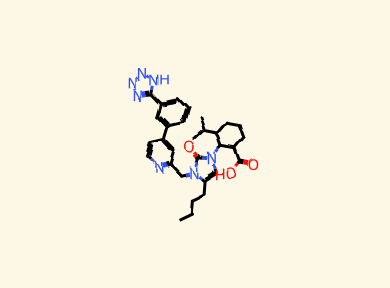 CCCCc1cn(C2C(C(=O)O)CCCC2C(C)C)c(=O)n1Cc1cc(-c2cccc(-c3nnn[nH]3)c2)ccn1